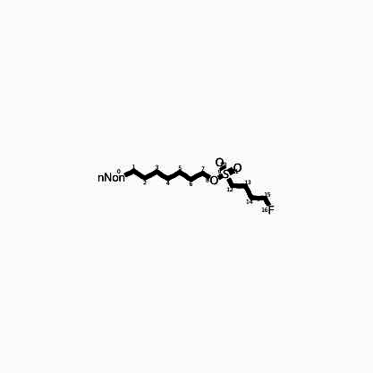 CCCCCCCCCCCCCCCCOS(=O)(=O)CCCCF